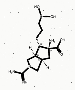 N=C(N)N1C[C@@H]2C[C@@](N)(C(=O)O)[C@@H](CCCB(O)O)[C@@H]2C1